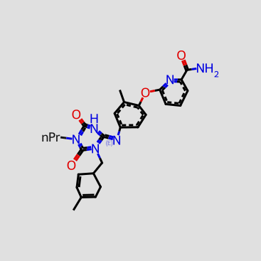 CCCn1c(=O)[nH]/c(=N\c2ccc(Oc3cccc(C(N)=O)n3)c(C)c2)n(CC2C=CC(C)=CC2)c1=O